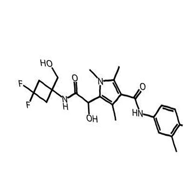 Cc1cc(NC(=O)c2c(C)c(C(O)C(=O)NC3(CO)CC(F)(F)C3)n(C)c2C)ccc1F